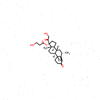 C[C@H]1C[C@@H]2[C@H](CC[C@@]3(C)[C@H]2CC[C@]3(OC(=O)CCO)C(=O)CO)[C@@]2(C)CCC(=O)C=C12